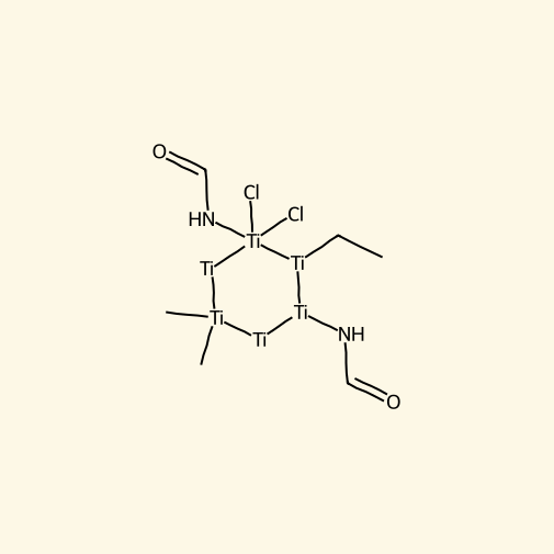 C[CH2][Ti]1[Ti]([NH]C=O)[Ti][Ti]([CH3])([CH3])[Ti][Ti]1([Cl])([Cl])[NH]C=O